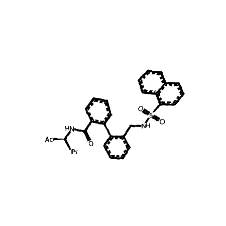 CC(=O)[C@@H](NC(=O)c1ccccc1-c1ccccc1CNS(=O)(=O)c1cccc2ccccc12)C(C)C